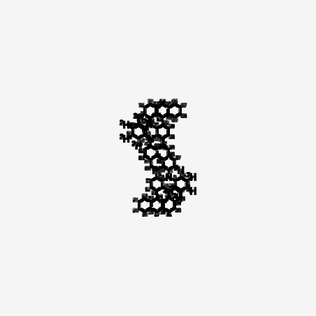 [2H]c1c([2H])c([2H])c(N(c2c(F)ccc(-c3cccc4ccccc34)c2-c2cccc3ccccc23)c2ccc3ccc4c(N(c5c([2H])c([2H])c([2H])c([2H])c5[2H])c5c(F)ccc(-c6cccc7ccccc67)c5-c5cccc6ccccc56)ccc5ccc2c3c54)c([2H])c1[2H]